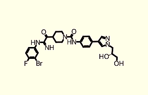 N=C(Nc1ccc(F)c(Br)c1)C(=O)C1CCN(C(=O)Nc2ccc(-c3cnn(C[C@@H](O)CO)c3)cc2)CC1